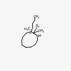 CCCC[C@]1(C)CCCCCCCCNC1(C)C